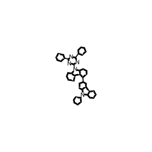 c1ccc(-c2nc(-c3ccccc3)nc(-n3c4ccccc4c4c(-c5ccc6c(c5)c5ccccc5n6-c5ccccc5)cccc43)n2)cc1